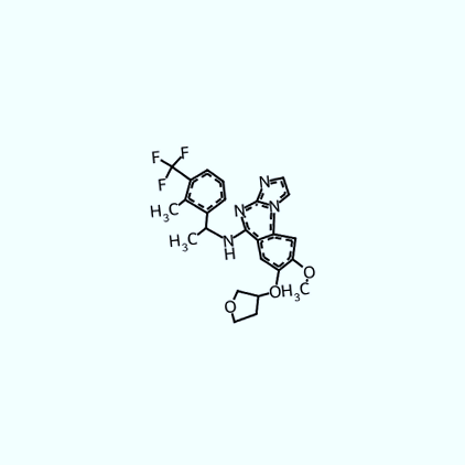 COc1cc2c(cc1OC1CCOC1)c(NC(C)c1cccc(C(F)(F)F)c1C)nc1nccn12